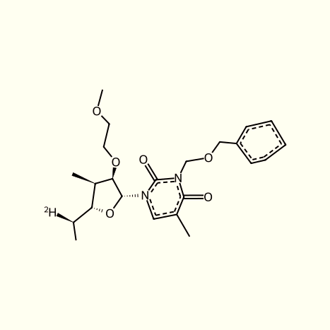 [2H][C@H](C)[C@H]1O[C@@H](n2cc(C)c(=O)n(COCc3ccccc3)c2=O)[C@H](OCCOC)[C@@H]1C